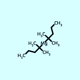 CCC[C](C)(C)[Mg][C](C)(C)CCC